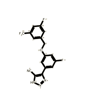 N#Cc1[nH]nnc1-c1cc(F)cc(OCc2cc(F)cc(C(F)(F)F)c2)c1